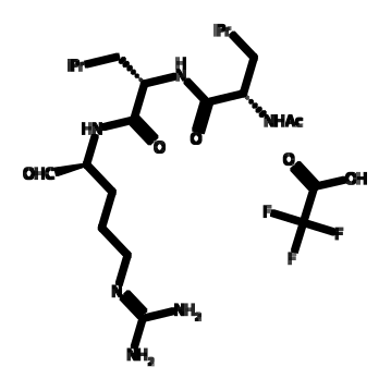 CC(=O)N[C@@H](CC(C)C)C(=O)N[C@@H](CC(C)C)C(=O)N[C@H](C=O)CCCN=C(N)N.O=C(O)C(F)(F)F